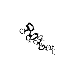 C[C@@H](Oc1ccc2c(-c3ccccc3Cl)ccnc2c1)C(=O)N1CCC[C@H](C(=O)O)C1